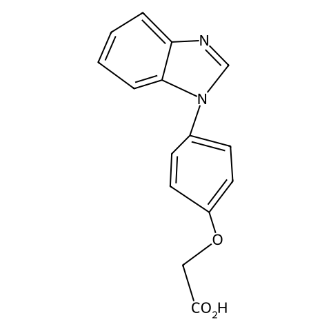 O=C(O)COc1ccc(-n2cnc3ccccc32)cc1